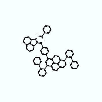 c1ccc(-c2nc(-c3ccc(-c4cc(-c5ccccc5-c5ccccc5)c5ccc6ccc(-c7ccccc7-c7ccccc7)c7ccc4c5c67)cc3)c3c(n2)-c2cccc4cccc-3c24)cc1